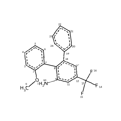 COc1ccccc1-c1c(N)cc(C(F)(F)F)cc1-c1ccccc1